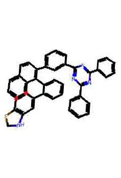 c1ccc(-c2nc(-c3ccccc3)nc(-c3cccc(-c4ccc5ccccc5c4-c4ccccc4-c4ccc5c(c4)NCS5)c3)n2)cc1